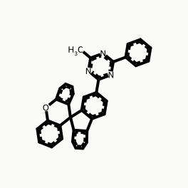 Cc1nc(-c2ccccc2)nc(-c2ccc3c(c2)C2(c4ccccc4Oc4ccccc42)c2ccccc2-3)n1